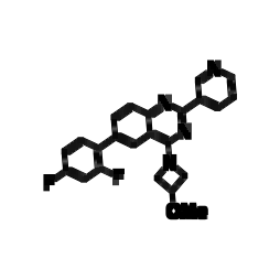 COC1CN(c2nc(-c3cccnc3)nc3ccc(-c4ccc(F)cc4F)cc23)C1